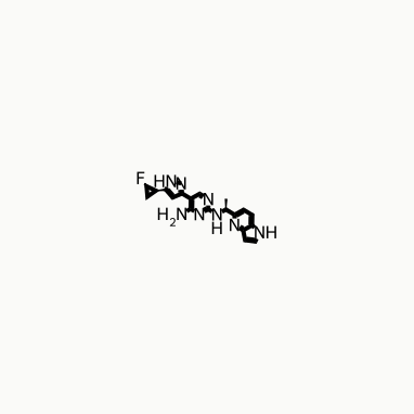 C[C@H](Nc1ncc(-c2cc([C@H]3C[C@H]3F)[nH]n2)c(N)n1)c1ccc2[nH]ccc2n1